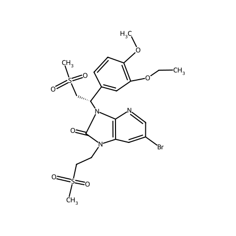 CCOc1cc([C@@H](CS(C)(=O)=O)n2c(=O)n(CCS(C)(=O)=O)c3cc(Br)cnc32)ccc1OC